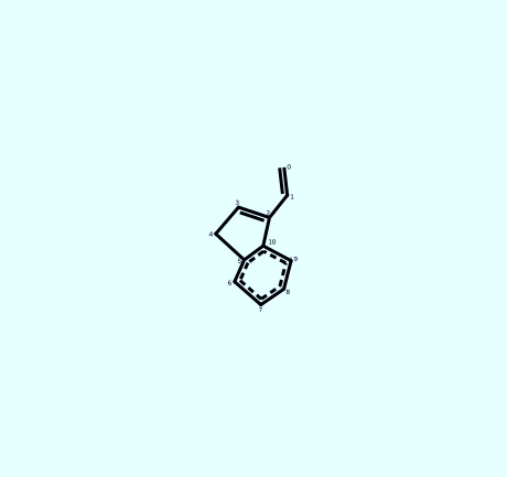 C=CC1=CCc2ccc[c]c21